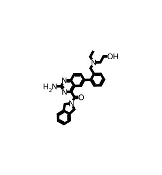 CCN(CCO)Cc1ccccc1-c1ccc2nc(N)nc(C(=O)N3Cc4ccccc4C3)c2c1